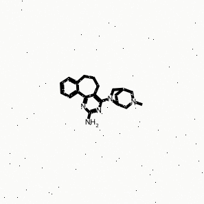 CN1CC2CC(C1)N(c1nc(N)nc3c1CCCc1ccccc1-3)C2